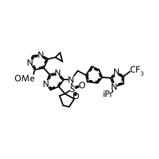 COc1ncnc(C2CC2)c1-c1ncc2c(n1)N(Cc1ccc(-c3nc(C(F)(F)F)cn3C(C)C)cc1)S(=O)(=O)C21CCCC1